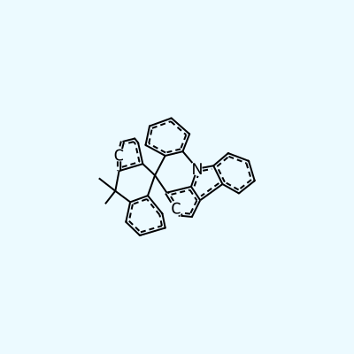 CC1(C)c2ccccc2C2(c3ccccc3-n3c4ccccc4c4cccc2c43)c2ccccc21